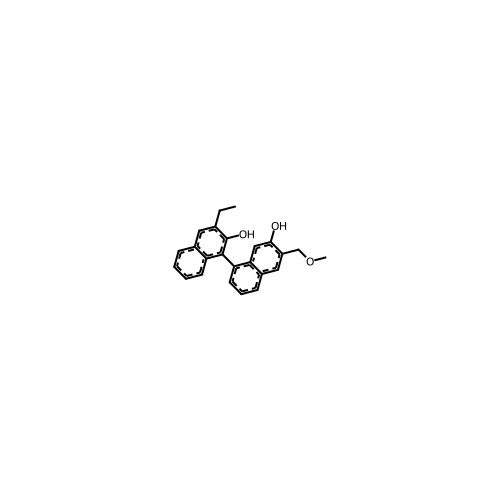 CCc1cc2ccccc2c(-c2cccc3cc(COC)c(O)cc23)c1O